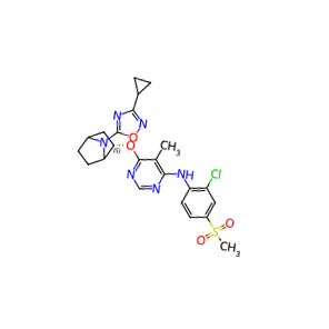 Cc1c(Nc2ccc(S(C)(=O)=O)cc2Cl)ncnc1O[C@H]1CC2CCC1N2c1nc(C2CC2)no1